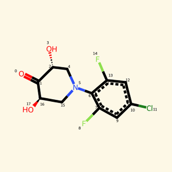 O=C1[C@H](O)CN(c2c(F)cc(Cl)cc2F)C[C@H]1O